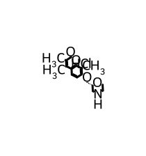 Cc1c(C)c2ccc(OC[C@H]3CNCCO3)c(C)c2oc1=O.Cl